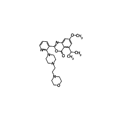 COc1cc(C(C)C)c2c(=O)oc(-c3cccnc3N3CCN(CCN4CCOCC4)CC3)nc2c1